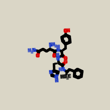 NC(=O)CC[C@H](N)C(=O)N[C@@H](Cc1ccc(O)cc1)C(=O)N[C@@H](Cc1c[nH]cn1)C(=O)N[C@@H](Cc1ccccc1)C(=O)O